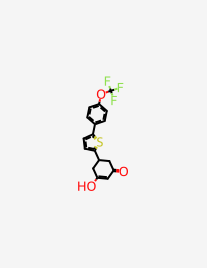 O=C1C=C(O)CC(c2ccc(-c3ccc(OC(F)(F)F)cc3)s2)C1